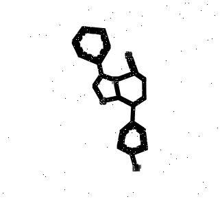 O=C1CCC(c2ccc(Br)cc2)C2OCC(c3ccccc3)N12